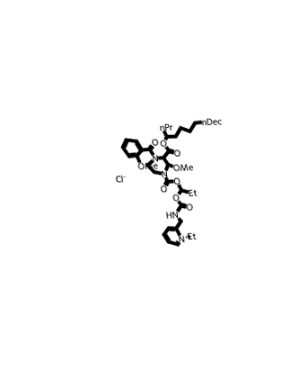 CCCCCCCCCCCCCCC(CCC)OC(=O)C1C(OC)N(C(=O)OC(CC)OC(=O)NCc2cccc[n+]2CC)CCN1C(=O)c1ccccc1OC.[Cl-]